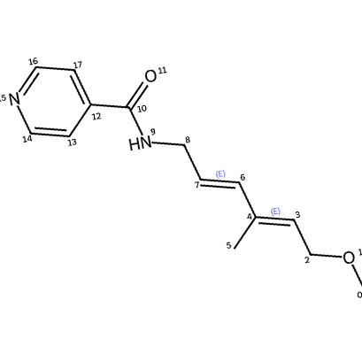 COC/C=C(C)/C=C/CNC(=O)c1ccncc1